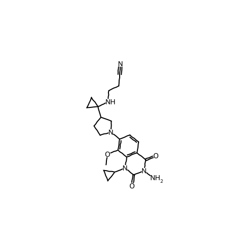 COc1c(N2CCC(C3(NCCC#N)CC3)C2)ccc2c(=O)n(N)c(=O)n(C3CC3)c12